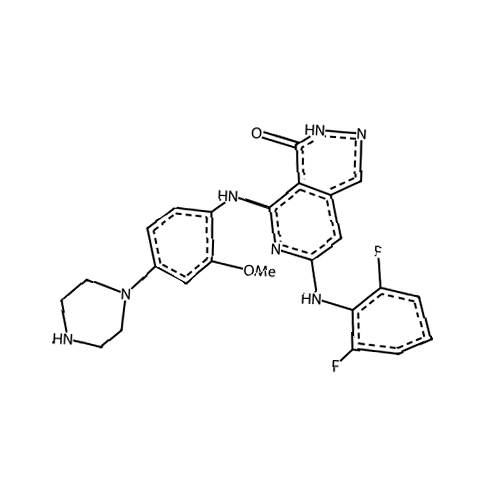 COc1cc(N2CCNCC2)ccc1Nc1nc(Nc2c(F)cccc2F)cc2cn[nH]c(=O)c12